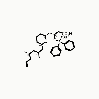 C=CC[C@H](C)C[C@H](C)C[C@H]1CCC[C@@H](C[C@H](CC(=O)O)O[Si](c2ccccc2)(c2ccccc2)C(C)(C)C)O1